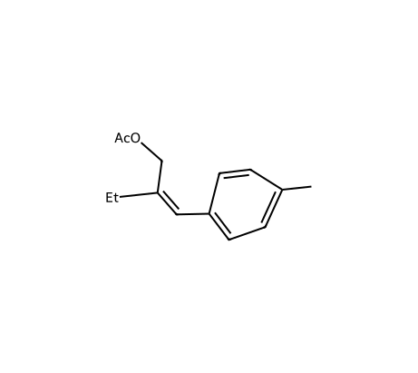 CCC(=Cc1ccc(C)cc1)COC(C)=O